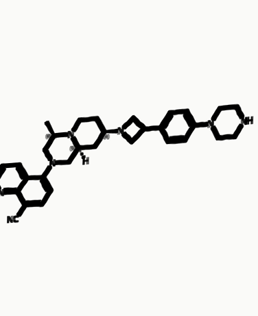 C[C@@H]1CN(c2ccc(C#N)c3ncccc23)C[C@@H]2C[C@H](N3CC(c4ccc(N5CCNCC5)cc4)C3)CCN21